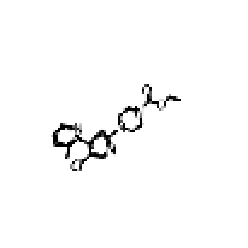 CCOC(=O)N1CCN(c2cc(-c3ncccc3C)c(Cl)cn2)CC1